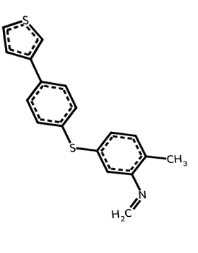 C=Nc1cc(Sc2ccc(-c3ccsc3)cc2)ccc1C